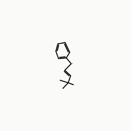 CC(C)(C)C=C[CH]c1ccccc1